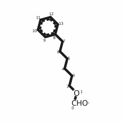 O=[C]OCCCCCCc1ccccc1